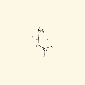 CN(C)SC(C)(C)N